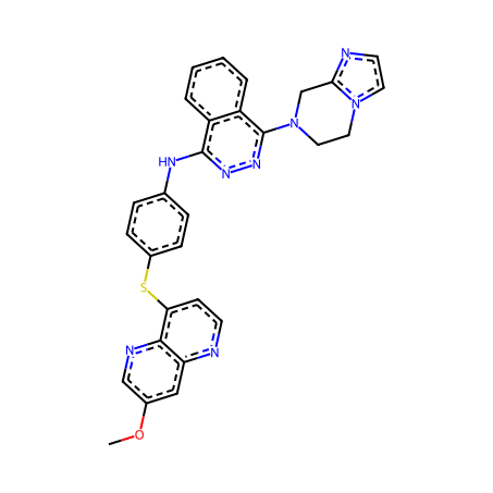 COc1cnc2c(Sc3ccc(Nc4nnc(N5CCn6ccnc6C5)c5ccccc45)cc3)ccnc2c1